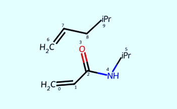 C=CC(=O)NC(C)C.C=CCC(C)C